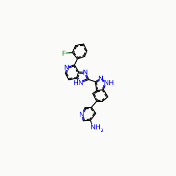 Nc1cncc(-c2ccc3[nH]nc(-c4nc5c(-c6ccccc6F)nccc5[nH]4)c3c2)c1